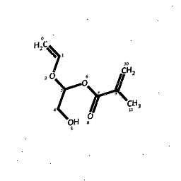 C=COC(CO)OC(=O)C(=C)C